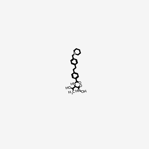 CC(O)C(NC(=O)c1ccc(CCc2ccc(CN3CCCCC3)cc2)cc1)C(=O)NO